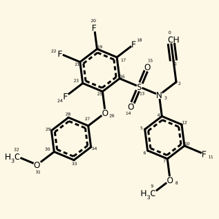 C#CCN(c1ccc(OC)c(F)c1)S(=O)(=O)c1c(F)c(F)c(F)c(F)c1Oc1ccc(OC)cc1